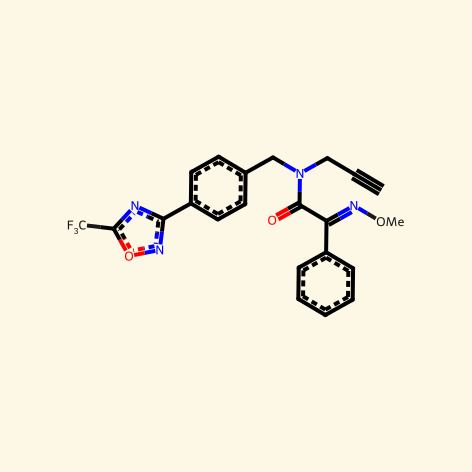 C#CCN(Cc1ccc(-c2noc(C(F)(F)F)n2)cc1)C(=O)C(=NOC)c1ccccc1